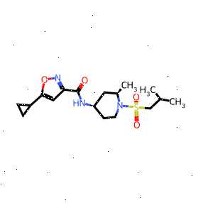 CC(C)CS(=O)(=O)N1CC[C@@H](NC(=O)c2cc(C3CC3)on2)C[C@H]1C